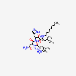 CCCCCCCCN[C@@H](CC(C)C)C(=O)C(=O)[C@H](Cc1cnc[nH]1)NC(=O)C(CC(N)=O)NC(=O)[C@H](CC(C)C)NN